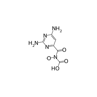 Nc1cc(C(=O)N([O])C(=O)O)nc(N)n1